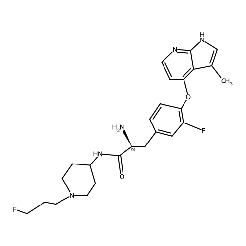 Cc1c[nH]c2nccc(Oc3ccc(C[C@H](N)C(=O)NC4CCN(CCCF)CC4)cc3F)c12